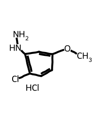 COc1ccc(Cl)c(NN)c1.Cl